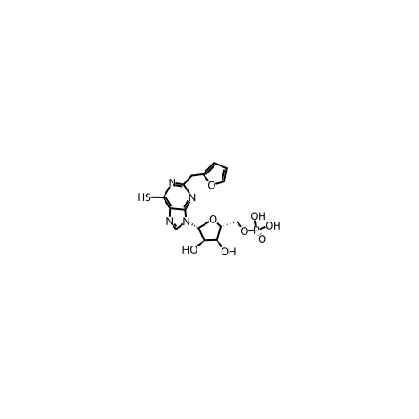 O=P(O)(O)OC[C@H]1O[C@@H](n2cnc3c(S)nc(Cc4ccco4)nc32)[C@H](O)[C@@H]1O